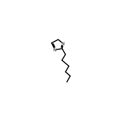 CCCCCCC1=NCC=N1